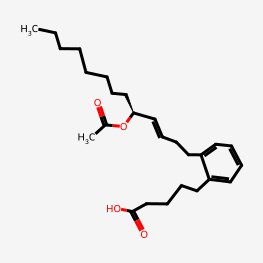 CCCCCCCC[C@@H](/C=C/CCc1ccccc1CCCCC(=O)O)OC(C)=O